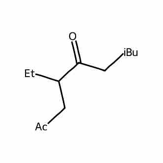 CCC(C)CC(=O)C(CC)CC(C)=O